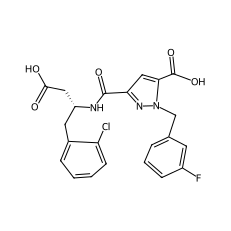 O=C(O)C[C@@H](Cc1ccccc1Cl)NC(=O)c1cc(C(=O)O)n(Cc2cccc(F)c2)n1